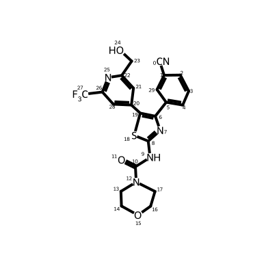 N#Cc1cccc(-c2nc(NC(=O)N3CCOCC3)sc2-c2cc(CO)nc(C(F)(F)F)c2)c1